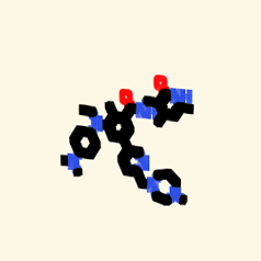 CCN(c1cc(-c2ccc(CN3CCCN(C)CC3)nc2)cc(C(=O)NCc2c(C)cc(C)[nH]c2=O)c1C)C1CCC(N(C)C)CC1